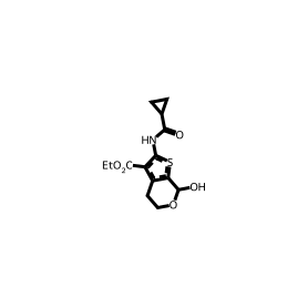 CCOC(=O)c1c(NC(=O)C2CC2)sc2c1CCOC2O